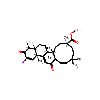 COC(=O)[C@@]1(C)CCC(C)(C)CCC2C(=O)C=C3[C@@]4(C)C=C(I)C(=O)[C@@H](C)[C@@H]4CC[C@@]3(C)[C@]2(C)CC1